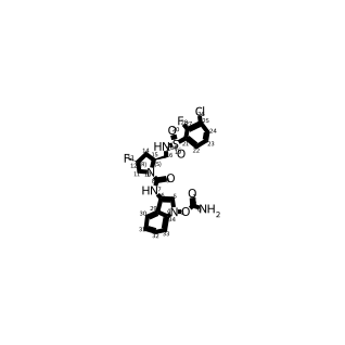 NC(=O)On1cc(NC(=O)N2C[C@H](F)C[C@H]2CNS(=O)(=O)c2cccc(Cl)c2F)c2ccccc21